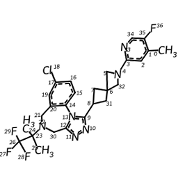 Cc1cc(N2CC3(CC(c4nnc5n4-c4ccc(Cl)cc4CN(C(C)(C)C(F)(F)F)C5)C3)C2)ncc1F